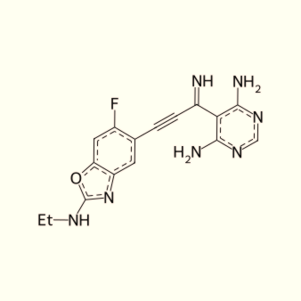 CCNc1nc2cc(C#CC(=N)c3c(N)ncnc3N)c(F)cc2o1